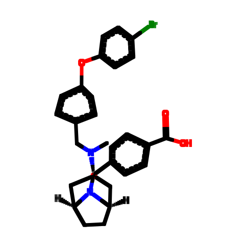 CN(Cc1ccc(Oc2ccc(Br)cc2)cc1)[C@@H]1C[C@H]2CC[C@@H](C1)N2Cc1ccc(C(=O)O)cc1